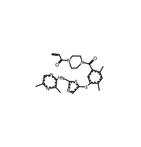 C=CC(=O)N1CCN(C(=O)c2cc(Sc3cnc(Nc4ncc(C)nc4C)s3)c(C)cc2C)CC1